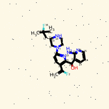 C=C(F)c1ccc(N2CCN[C@@H](CC(C)(C)F)C2)nc1C(O)c1cccnc1N